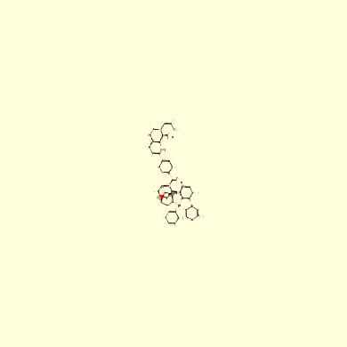 c1ccc(C2(c3ccccc3)c3ccccc3-c3ccc4nc(-c5ccc(-c6ccc7ccc8cccnc8c7n6)cc5)c5ccccc5c4c32)cc1